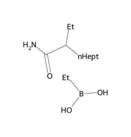 CCB(O)O.CCCCCCCC(CC)C(N)=O